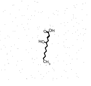 CCCCCCCC(O)CC=CC(=O)O